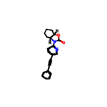 O=C1O[C@H]2CCCC[C@H]2N1c1ccc(C#Cc2ccccc2)cn1